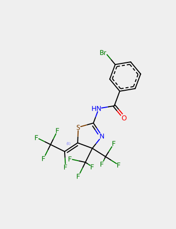 O=C(NC1=NC(C(F)(F)F)(C(F)(F)F)/C(=C(\F)C(F)(F)F)S1)c1cccc(Br)c1